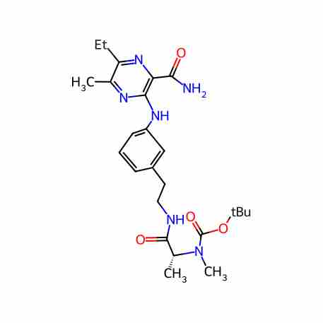 CCc1nc(C(N)=O)c(Nc2cccc(CCNC(=O)[C@@H](C)N(C)C(=O)OC(C)(C)C)c2)nc1C